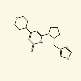 O=c1cc(N2CCOCC2)cc(N2CCCC2Cc2ccsc2)[nH]1